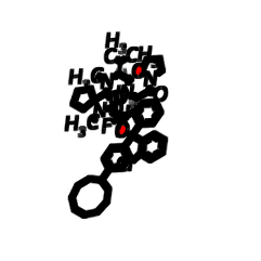 CC(C)[C@@H](C(=O)N[C@@H](CC(=O)OC(c1ccccc1)(c1ccc(C2CCCCCCCC2)cc1)c1ccccc1Cl)C(=O)N1CCCC1)N(C)C(=O)C1(N(C)C(=O)C(F)(F)F)CCCC1